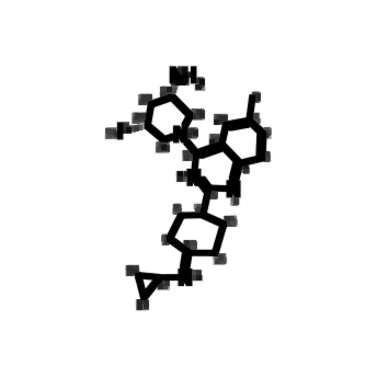 Cc1ccc2nc(C3CCC(=NC4CC4)CC3)nc(N3C[C@@H](N)C[C@@H](F)C3)c2c1